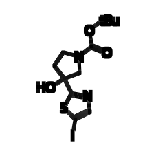 CC(C)(C)OC(=O)N1CCC(O)(c2ncc(I)s2)C1